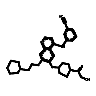 C#Cc1cccc(Nc2ncnc3cc(OCCN4CCOCC4)c(OC4CCN(C(=O)CO)CC4)cc23)c1